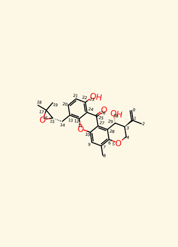 C=C(C)[C@H]1COc2c(C)cc3oc4c(C[C@@H]5OC5(C)C)ccc(O)c4c(=O)c3c2[C@@H]1O